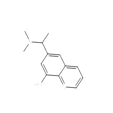 CC(c1cc(O)c2ncccc2c1)N(C)C